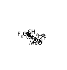 CON=C(C=Cc1c(F)cccc1F)c1csc(C2CCN(C(=O)Cn3nc(C(F)(F)F)cc3C)CC2)n1